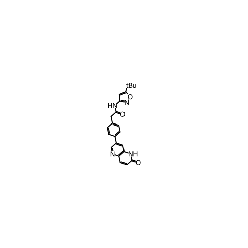 CC(C)(C)c1cc(NC(=O)Cc2ccc(-c3cnc4ccc(=O)[nH]c4c3)cc2)no1